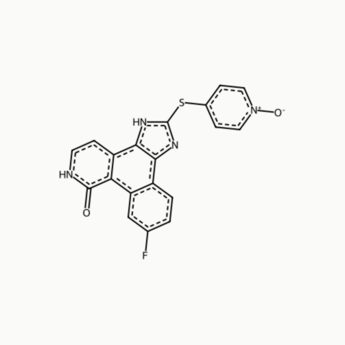 O=c1[nH]ccc2c3[nH]c(Sc4cc[n+]([O-])cc4)nc3c3ccc(F)cc3c12